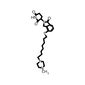 CN1CCN(CCCCCCCCSc2cccc3c2CN(C2CCC(=O)NC2=O)C3=O)CC1